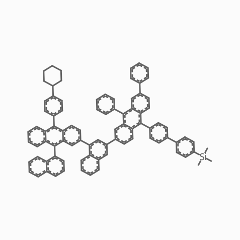 C[Si](C)(C)c1ccc(-c2ccc(-c3c4ccc(-c5ccccc5)cc4c(-c4ccccc4)c4cc(-c5cc(-c6ccc7c(-c8ccc(C9CCCCC9)cc8)c8ccccc8c(-c8cccc9ccccc89)c7c6)c6ccccc6c5)ccc34)cc2)cc1